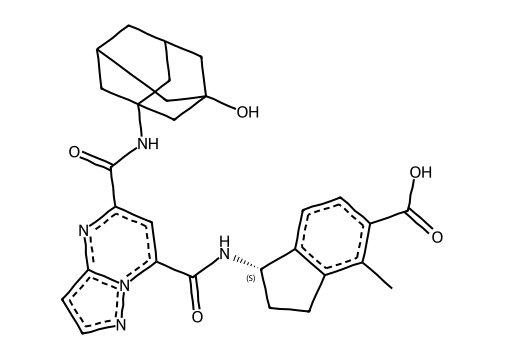 Cc1c(C(=O)O)ccc2c1CC[C@@H]2NC(=O)c1cc(C(=O)NC23CC4CC(CC(O)(C4)C2)C3)nc2ccnn12